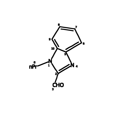 CCCn1c(C=O)nc2ccccc21